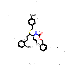 COc1ccc(CSC(CCc2ccccc2OC)C(C=CS(=O)(=O)O)NC(=O)OCc2ccccc2)cc1